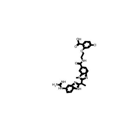 CC(c1nc2cc(NC(=N)N)ccc2[nH]1)c1nc2ccc(C(=O)NCCOc3cc(Cl)ccc3C(=O)O)cc2n1C